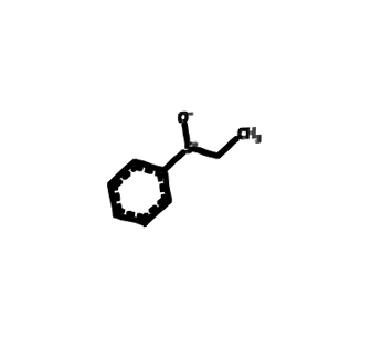 CC[S+]([O-])c1c[c]ccc1